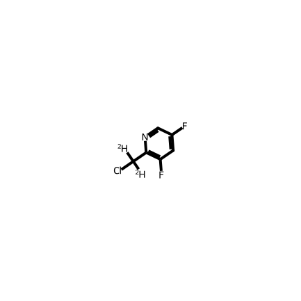 [2H]C([2H])(Cl)c1ncc(F)cc1F